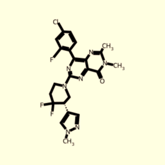 Cc1nc2c(-c3ccc(Cl)cc3F)nc(N3CCC(F)(F)[C@@H](c4cnn(C)c4)C3)nc2c(=O)n1C